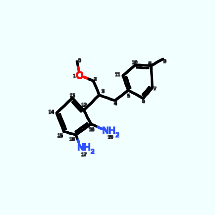 COCC(Cc1ccc(C)cc1)c1cccc(N)c1N